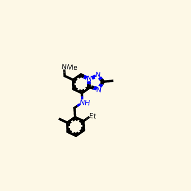 CCc1cccc(C)c1CNc1cc(CNC)cn2nc(C)nc12